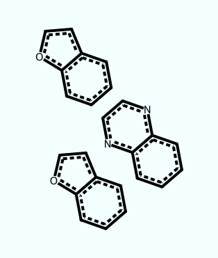 c1ccc2nccnc2c1.c1ccc2occc2c1.c1ccc2occc2c1